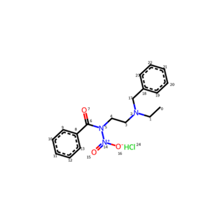 CCN(CCN(C(=O)c1ccccc1)[N+](=O)[O-])Cc1ccccc1.Cl